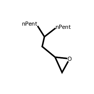 CCCCCC(CCCCC)CC1CO1